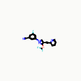 N#Cc1cc(F)cc(-n2cc(C#Cc3ccccn3)c(OC(F)F)n2)c1